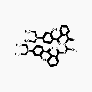 CCN(CC)c1ccc(C(=O)c2ccccc2C(=O)OC(C)OC(=O)c2ccccc2C(=O)c2ccc(N(CC)CC)cc2O)c(O)c1